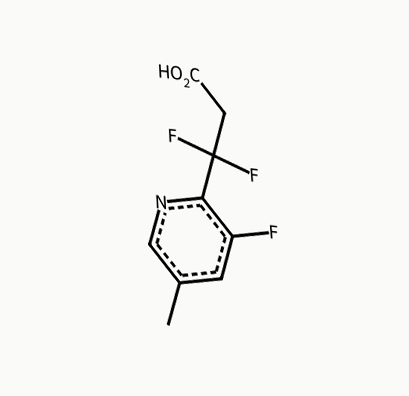 Cc1cnc(C(F)(F)CC(=O)O)c(F)c1